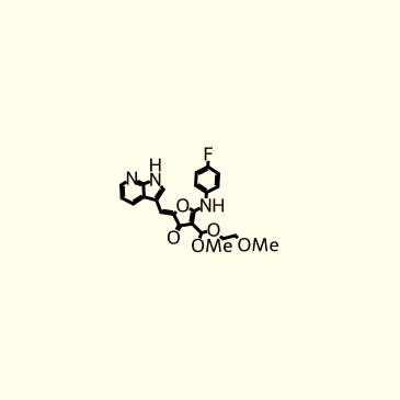 COCCOC(OC)C1=C(Nc2ccc(F)cc2)O/C(=C\c2c[nH]c3ncccc23)C1=O